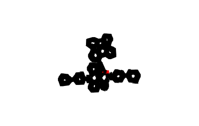 c1ccc(-c2ccc(N3c4ccccc4C4(c5ccccc53)c3ccccc3N(c3ccc(-c5ccccc5)cc3)c3ccc(-c5cccc6c5-c5ccccc5C65c6ccccc6-c6ccccc65)cc34)cc2)cc1